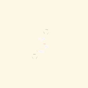 N[C@@H](CC(=O)N1CCC[C@H]1CNC(=O)c1ccccc1F)Cc1ccccc1F